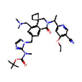 CCOc1cc(C(C)N2CC3(CCC3)c3c(CN(C)C)cc(Cn4ccnc4N(C)C(=O)OC(C)(C)C)cc3C2=O)ncc1C#N